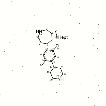 C1CCCNCC1.CCCCCCCC.Cc1ccc(Cl)cc1N1CCNCC1